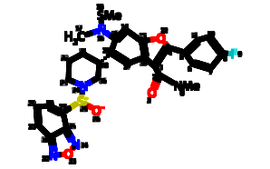 CNC(=O)c1c(-c2ccc(F)cc2)oc2cc(N(C)SC)c([C@H]3CCCN([S+]([O-])c4cccc5nonc45)C3)cc12